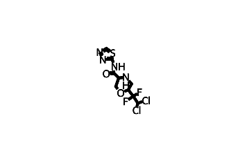 O=C(Nc1nncs1)C1COC(C(F)(F)C(Cl)Cl)CN1